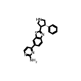 Nc1nccc(-c2ccc3nc(C4CNC[C@@H]4c4ccccc4)sc3c2)n1